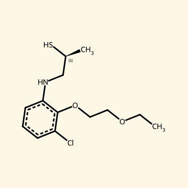 CCOCCOc1c(Cl)cccc1NC[C@H](C)S